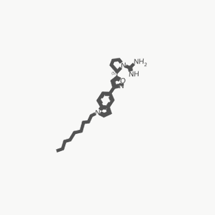 CCCCCCCCCn1ccc2cc(-c3cc([C@@H]4CCCN4C(=N)N)on3)ccc21